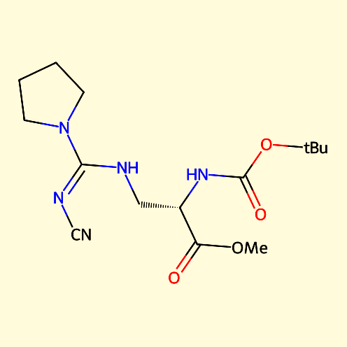 COC(=O)[C@H](CN/C(=N\C#N)N1CCCC1)NC(=O)OC(C)(C)C